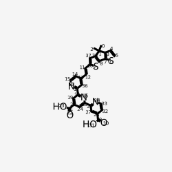 CC1(C)c2ccsc2-c2sc(/C=C/c3ccnc(-c4cc(C(=O)O)cc(-c5cc(C(=O)O)ccn5)n4)c3)cc21